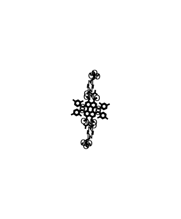 CO[Si](CCN1CCN(C(=O)C(C(C)C)N2C(=O)c3cc(Oc4ccc(C)cc4C)c4c5c(Oc6ccc(C)cc6C)cc6c7c(cc(Oc8ccc(C)cc8C)c(c8c(Oc9ccc(C)cc9C)cc(c3c48)C2=O)c75)C(=O)N(C(C(=O)N2CCN(CC[Si](OC)(OC)OC)CC2)C(C)C)C6=O)CC1)(OC)OC